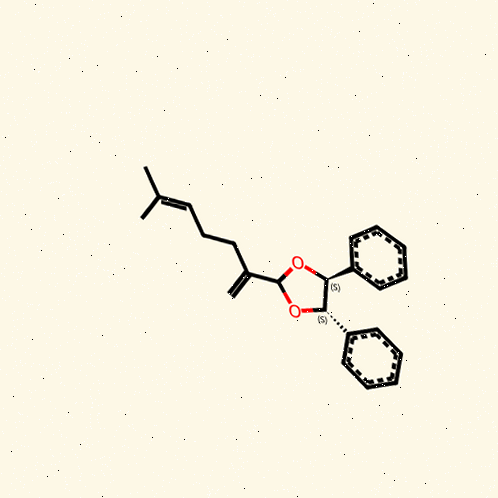 C=C(CCC=C(C)C)C1O[C@@H](c2ccccc2)[C@H](c2ccccc2)O1